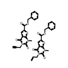 C#CCn1c(=O)c2cc(C(=O)OCc3ccccc3)sc2n(C)c1=O.C=CCn1c(=O)c2cc(C(=O)OCc3ccccc3)sc2n(C)c1=O